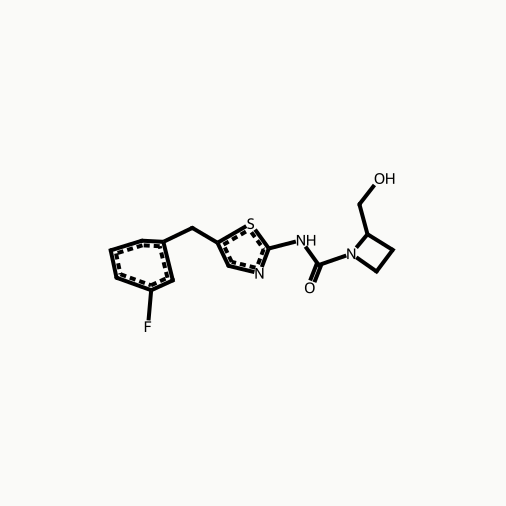 O=C(Nc1ncc(Cc2cccc(F)c2)s1)N1CCC1CO